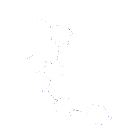 Cc1cccc(-c2cnc(Nc3cc(C4CCNCC4)no3)c3nccn23)c1